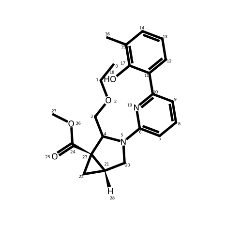 CCOCC1N(c2cccc(-c3cccc(C)c3O)n2)C[C@@H]2C[C@]12C(=O)OC